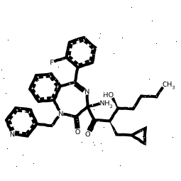 CCCC[C@H](O)[C@@H](CC1CC1)C(=O)C1(N)N=C(c2ccccc2F)c2ccccc2N(Cc2cccnc2)C1=O